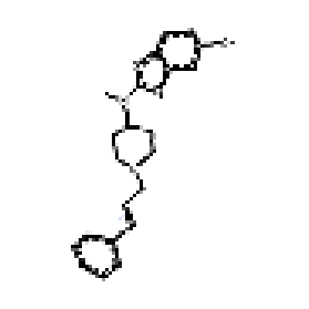 CN(c1nc2cc(O)ccc2s1)C1CCN(C/C=C/c2ccccc2)CC1